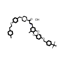 Cc1ccc(CCOc2ccc(CN3CCN(C(=O)/C=C/c4cc(C)c(Oc5ccc(OCc6ccc(C(F)(F)F)cc6)cn5)c(Cl)c4)CC3)cc2)cc1.Cl